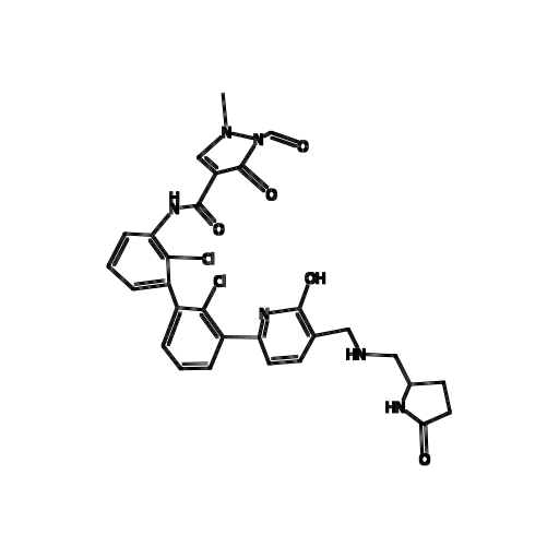 Cn1cc(C(=O)Nc2cccc(-c3cccc(-c4ccc(CNCC5CCC(=O)N5)c(O)n4)c3Cl)c2Cl)c(=O)n1C=O